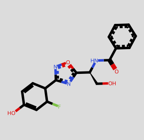 O=C(N[C@@H](CO)c1nc(C2C=CC(O)=CC2F)no1)c1ccccc1